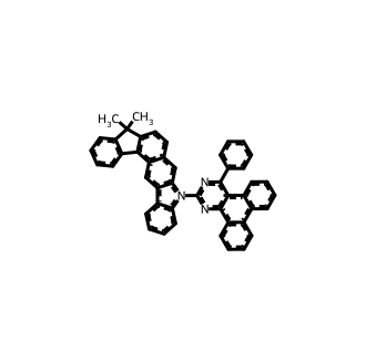 CC1(C)c2ccccc2-c2c1ccc1cc3c(cc21)c1ccccc1n3-c1nc(-c2ccccc2)c2c3ccccc3c3ccccc3c2n1